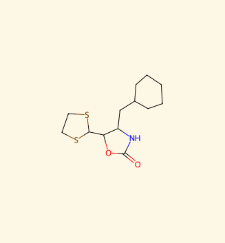 O=C1NC(CC2CCCCC2)C(C2SCCS2)O1